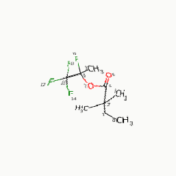 CCC(C)(C)C(=O)OC(C)(F)C(F)(F)F